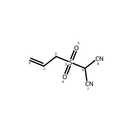 C=CCS(=O)(=O)C(C#N)C#N